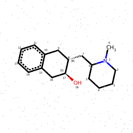 CN1CCCCC1C[C@H]1Cc2ccccc2C[C@@H]1O